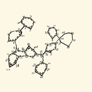 c1ccc(-c2cccc(-n3c4ccccc4c4cc(N(c5ccccc5)c5ccc(C6(c7ccccc7)CCCCC6)cc5)ccc43)c2)cc1